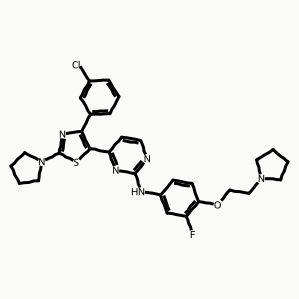 Fc1cc(Nc2nccc(-c3sc(N4CCCC4)nc3-c3cccc(Cl)c3)n2)ccc1OCCN1CCCC1